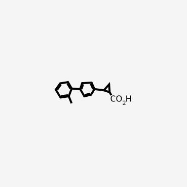 Cc1ccccc1-c1ccc(C2CC2C(=O)O)cc1